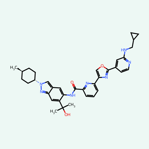 CC(C)(O)c1cc2nn([C@H]3CC[C@H](C)CC3)cc2cc1NC(=O)c1cccc(-c2coc(-c3ccnc(NCC4CC4)c3)n2)n1